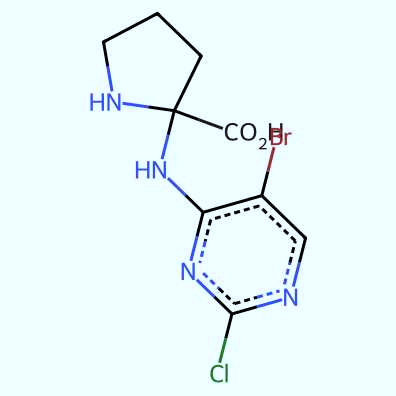 O=C(O)C1(Nc2nc(Cl)ncc2Br)CCCN1